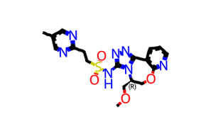 COC[C@@H]1COc2ncccc2-c2nnc(NS(=O)(=O)CCc3ncc(C)cn3)n21